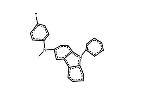 Fc1ccc(N(I)c2ccc3c(c2)c2ccccc2n3-c2ccccc2)cc1